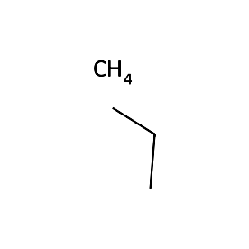 C.CCC